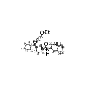 CCOCCCO[C@@H](c1ccccc1)[C@@H]1CCCN(C(=O)NC(CN)CC2CCCCC2)C1